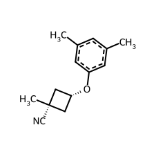 Cc1cc(C)cc(O[C@H]2C[C@@](C)(C#N)C2)c1